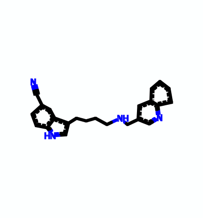 N#Cc1ccc2[nH]cc(CCCCNCc3cnc4ccccc4c3)c2c1